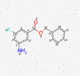 Nc1cc(F)cc(C(=O)OCc2ccccc2)c1